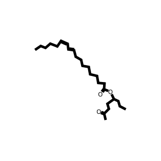 CCCCC/C=C\C=C\CCCCCCCCC(=O)OC(CCC)CCC(C)=O